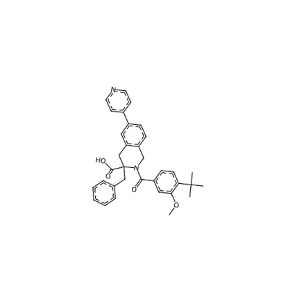 COc1cc(C(=O)N2Cc3ccc(-c4ccncc4)cc3CC2(Cc2ccccc2)C(=O)O)ccc1C(C)(C)C